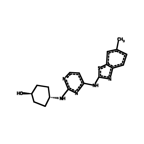 Cc1ccc2nc(Nc3ccnc(N[C@H]4CC[C@H](O)CC4)n3)sc2c1